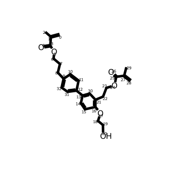 C=C(C)C(=O)OCCCc1ccc(-c2ccc(OCCO)c(CCOC(=O)C(=C)C)c2)cc1